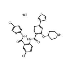 Cl.O=C(Nc1ccc(Cl)cn1)c1cc(Cl)ccc1NC(=O)c1ccc(-c2ccsc2)cc1OC1CCNCC1